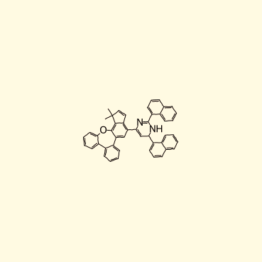 CC1(C)C=Cc2c(C3=CC(c4cccc5ccccc45)NC(c4cccc5ccccc45)=N3)cc3c(c21)Oc1ccccc1-c1ccccc1-3